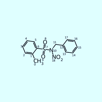 Cc1ccccc1S(=O)(=O)N(Cc1ccccc1)[N+](=O)[O-]